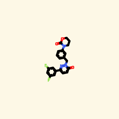 O=C1OCCCN1c1cccc(Cn2nc(-c3cc(F)cc(F)c3)ccc2=O)c1